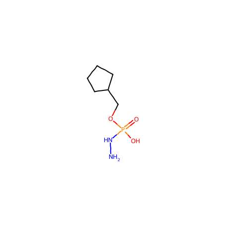 NNP(=O)(O)OCC1CCCC1